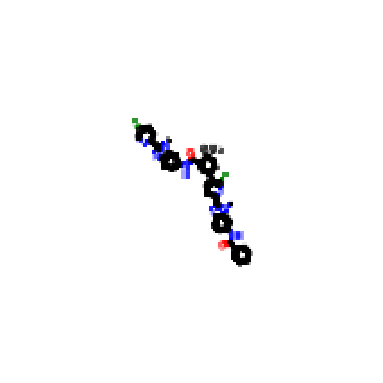 COc1ccc(-c2ccc(-c3nc4ccc(NC(=O)c5ccccc5)cc4n3C)nc2F)cc1C(=O)Nc1ccc2nc(-c3ccc(F)cn3)n(C)c2c1